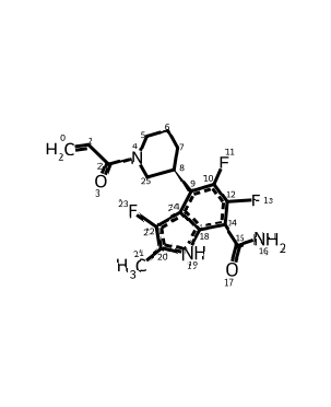 C=CC(=O)N1CCC[C@@H](c2c(F)c(F)c(C(N)=O)c3[nH]c(C)c(F)c23)C1